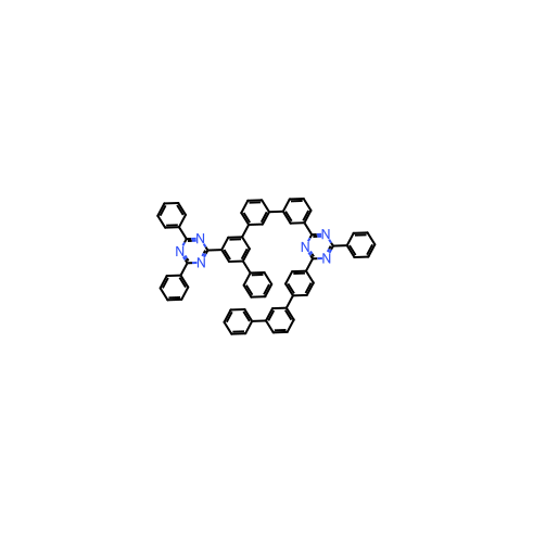 c1ccc(-c2cccc(-c3ccc(-c4nc(-c5ccccc5)nc(-c5cccc(-c6cccc(-c7cc(-c8ccccc8)cc(-c8nc(-c9ccccc9)nc(-c9ccccc9)n8)c7)c6)c5)n4)cc3)c2)cc1